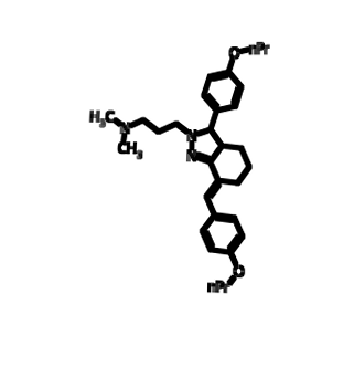 CCCOc1ccc(C=C2CCCC3C2=NN(CCCN(C)C)C3c2ccc(OCCC)cc2)cc1